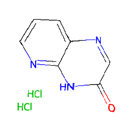 Cl.Cl.O=c1cnc2cccnc2[nH]1